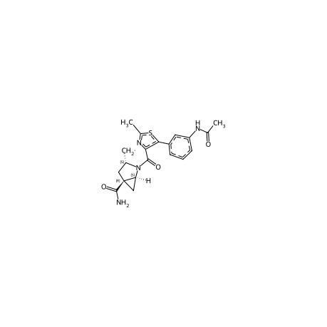 [CH2][C@H]1C[C@@]2(C(N)=O)C[C@@H]2N1C(=O)c1nc(C)sc1-c1cccc(NC(C)=O)c1